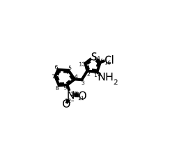 Nc1c(Cc2ccccc2[N+](=O)[O-])csc1Cl